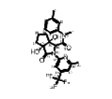 Cc1cccc(N(C)C(=O)C2N(c3cc(C(F)(F)F)cc(C)n3)C(=O)[C@]3(O)CCC[C@]23O)c1